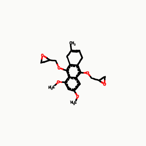 COc1cc(OC)c2c(OCC3CO3)c3c(c(OCC4CO4)c2c1)CC=C(C)C3